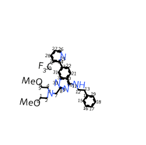 COCCN(CCOC)Cc1nc(NCCc2ccccc2)c2ccc(-c3ncccc3C(F)(F)F)cc2n1